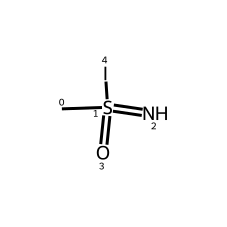 CS(=N)(=O)I